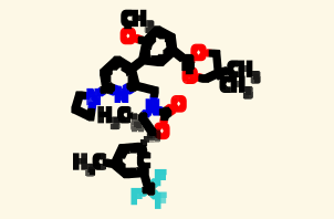 COc1ccc(B2OCC(C)(C)CO2)cc1-c1ccc(N2CCC2)nc1CN1C(=O)O[C@H](c2cc(C)cc(C(F)(F)F)c2)[C@@H]1C